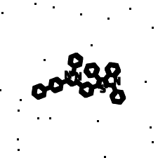 c1ccc(-c2ccc(-c3cc(-c4cccc(-c5sc6c(-c7ccccc7)nc7ccccc7c6c5-c5ccccc5)c4)nc(-c4ccccc4)n3)cc2)cc1